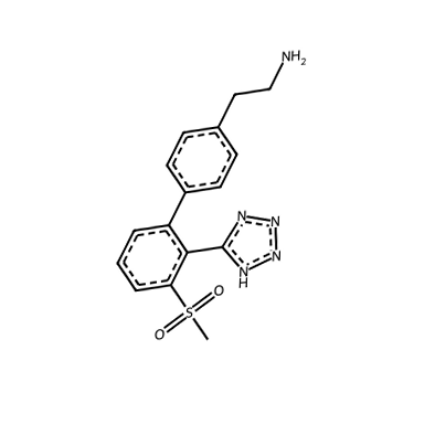 CS(=O)(=O)c1cccc(-c2ccc(CCN)cc2)c1-c1nnn[nH]1